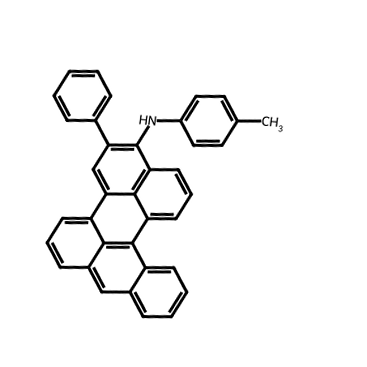 Cc1ccc(Nc2c(-c3ccccc3)cc3c4cccc5cc6ccccc6c(c6cccc2c36)c54)cc1